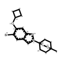 CC12CCC(n3cc4cc(Br)c(OC5CCC5)cc4n3)(CC1)CO2